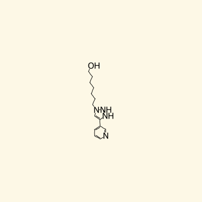 OCCCCCCCN1C=C(c2cccnc2)NN1